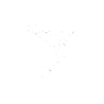 CCN(Cc1ccc(OCCN2CCCCCC2)cc1)c1cc(OC)ccc1C1CCCc2cc(O[Si](C)(C)C(C)(C)C)ccc2C1